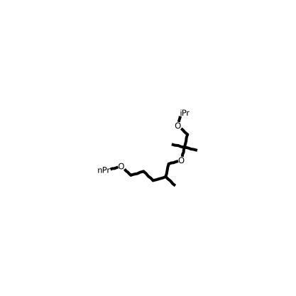 CCCOCCCC(C)COC(C)(C)COC(C)C